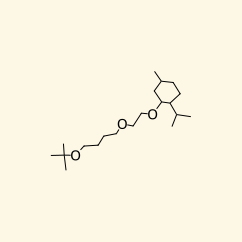 CC1CCC(C(C)C)C(OCCOCCCCOC(C)(C)C)C1